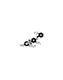 Cc1cc(S(=O)(=O)N2CCC(O)CC2C(=O)O)ccc1OCc1ccccc1C(F)(F)F